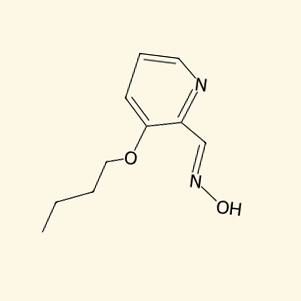 CCCCOc1cccnc1C=NO